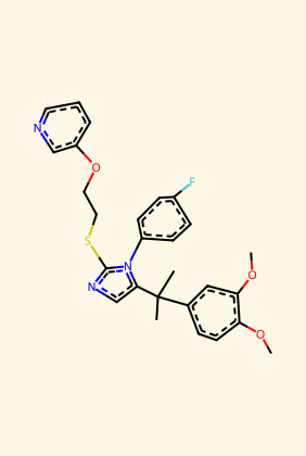 COc1ccc(C(C)(C)c2cnc(SCCOc3cccnc3)n2-c2ccc(F)cc2)cc1OC